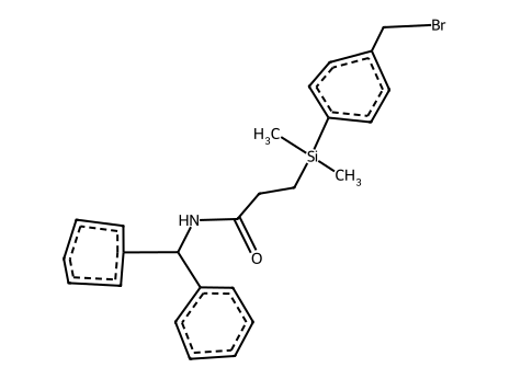 C[Si](C)(CCC(=O)NC(c1ccccc1)c1ccccc1)c1ccc(CBr)cc1